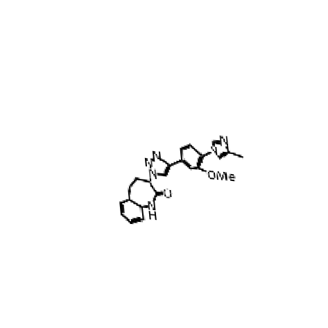 COc1cc(-c2cn(C3CCC4C=CC=CC4NC3=O)nn2)ccc1-n1cnc(C)c1